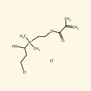 C=C(C)C(=O)OCC[N+](C)(C)C(O)CCCl.[Cl-]